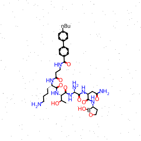 CCCCc1ccc(-c2ccc(C(=O)NCCC(=O)N[C@@H](CCCCN)C(=O)N[C@H](C(=O)N[C@@H](N)C(=O)NC(CC(N)=O)C(=O)N[C@H]3CCOB3O)C(C)O)cc2)cc1